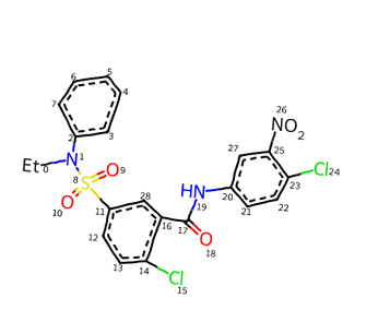 CCN(c1ccccc1)S(=O)(=O)c1ccc(Cl)c(C(=O)Nc2ccc(Cl)c([N+](=O)[O-])c2)c1